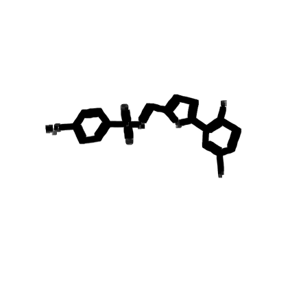 Cc1ccc(S(=O)(=O)/N=C/c2ccc(-c3cc(F)ccc3F)s2)cc1